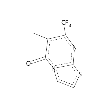 Cc1c(C(F)(F)F)nc2sccn2c1=O